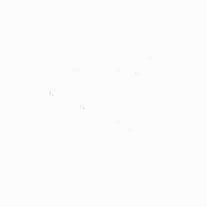 CCOC1OC(=O)C=C1c1ccncn1